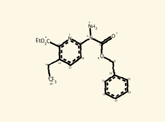 CCOC(=O)c1nc(N(N)C(=O)OCc2ccccc2)ccc1CC(F)(F)F